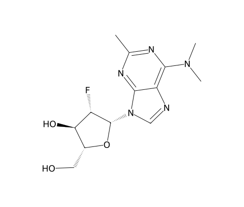 Cc1nc(N(C)C)c2ncn([C@@H]3O[C@H](CO)[C@@H](O)[C@@H]3F)c2n1